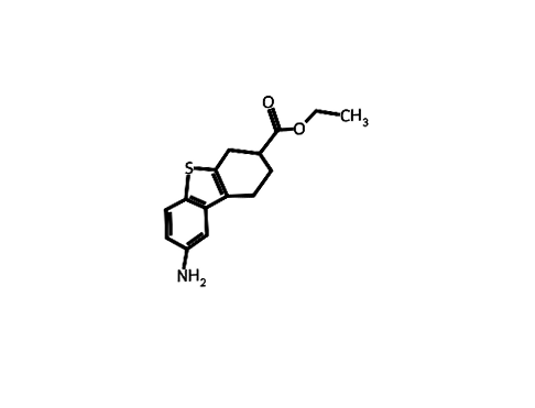 CCOC(=O)C1CCc2c(sc3ccc(N)cc23)C1